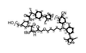 Cc1ccc(-c2c(C)noc2C)cc1N(CCCCCOCC(=O)N[C@H](C(=O)N1C[C@@H](CC(=O)O)C[C@H]1NC(=O)[C@@H](C)c1ccc(-c2sccc2C)cc1)C(C)(C)C)c1ccc(C#N)c(C(F)(F)F)c1